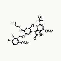 COc1ccc(F)c(F)c1COc1cc(-n2c(=O)[nH]c3c(OC)nc(C(C)(C)O)nc32)c(Cl)cc1OCCO